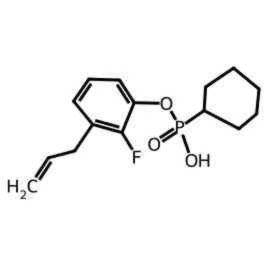 C=CCc1cccc(OP(=O)(O)C2CCCCC2)c1F